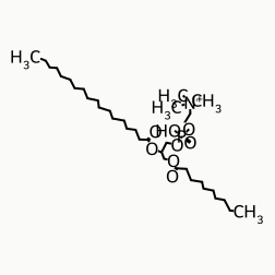 CCCCCCCCCCCCCCCCCC(=O)OC(COC(=O)CCCCCCCCC)COP(=O)(O)OCC[N+](C)(C)C